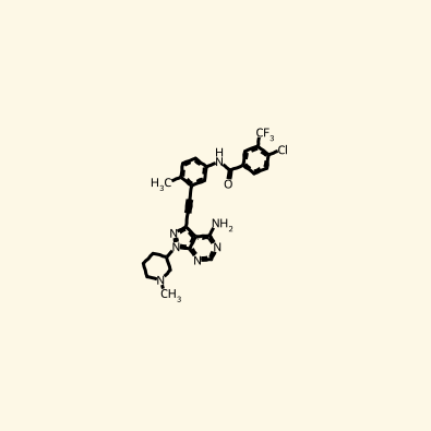 Cc1ccc(NC(=O)c2ccc(Cl)c(C(F)(F)F)c2)cc1C#Cc1nn(C2CCCN(C)C2)c2ncnc(N)c12